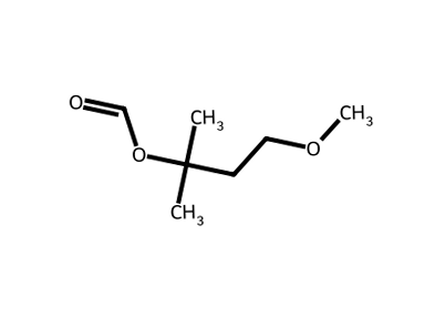 COCCC(C)(C)OC=O